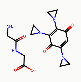 NCC(=O)NCC(=O)O.O=C1C=C(N2CC2)C(=O)C(N2CC2)=C1N1CC1